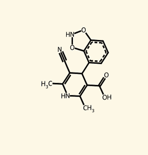 CC1=C(C#N)C(c2cccc3c2ONO3)C(C(=O)O)=C(C)N1